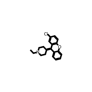 CCN1CCC(=C2c3ccccc3Oc3ccc(Cl)cc32)CC1